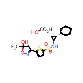 O=C(O)O.O=S(=O)(N[C@H]1C[C@@H]1c1ccccc1)c1ccc(C2=NOC(O)(C(F)(F)F)C2)s1